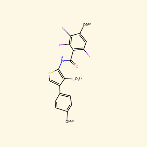 COc1ccc(-c2csc(NC(=O)c3c(I)cc(OC)c(I)c3I)c2C(=O)O)cc1